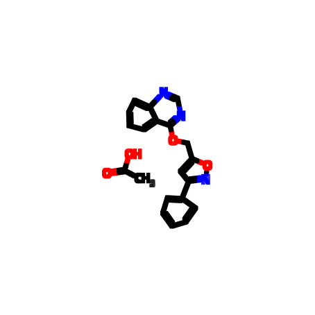 CC(=O)O.c1ccc(-c2cc(COc3ncnc4ccccc34)on2)cc1